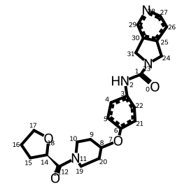 O=C(Nc1ccc(OC2CCN(C(=O)[C@H]3CCCO3)CC2)cc1)N1Cc2ccncc2C1